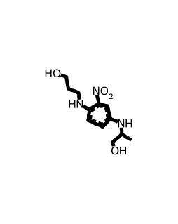 CC(CO)Nc1ccc(NCCCO)c([N+](=O)[O-])c1